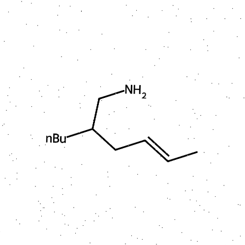 CC=CCC(CN)CCCC